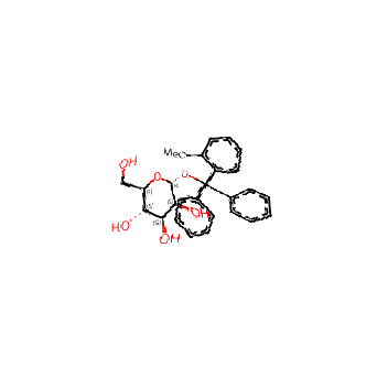 COc1ccccc1C(O[C@H]1O[C@H](CO)[C@@H](O)[C@H](O)[C@@H]1O)(c1ccccc1)c1ccccc1